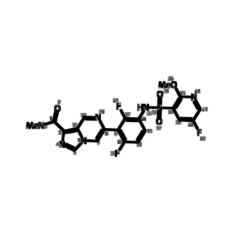 CNC(=O)c1ncn2cc(-c3c(F)ccc(NS(=O)(=O)c4cc(F)cnc4OC)c3F)ncc12